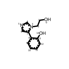 OCCn1cncc1-c1ccccc1O